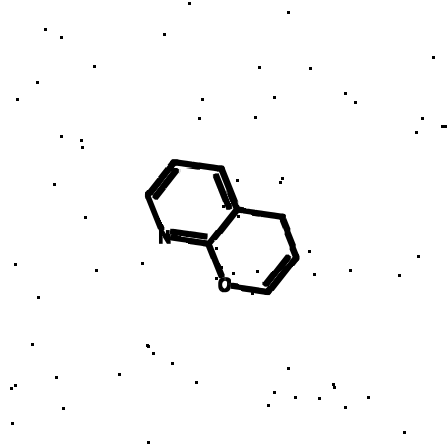 C1=COc2ncccc2C1